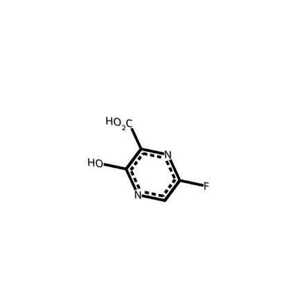 O=C(O)c1nc(F)cnc1O